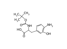 CC(C)(C)OC(=O)NC(Cc1ccc(N)c(O)c1)C(=O)O